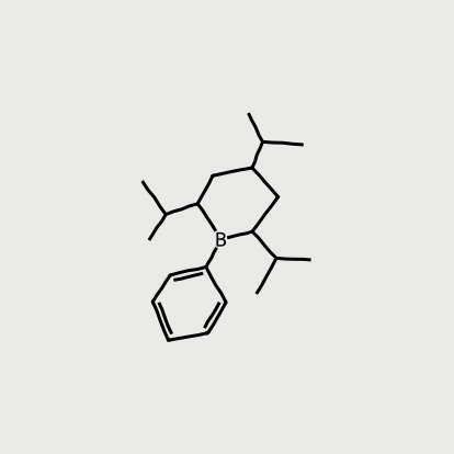 CC(C)C1CC(C(C)C)B(c2ccccc2)C(C(C)C)C1